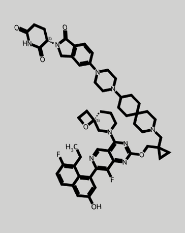 CCc1c(F)ccc2cc(O)cc(-c3ncc4c(N5CCC[C@]6(CCO6)C5)nc(OCC5(CN6CCC7(CCC(N8CCN(c9ccc%10c(c9)CN([C@H]9CCC(=O)NC9=O)C%10=O)CC8)CC7)CC6)CC5)nc4c3F)c12